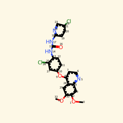 COc1cc2nccc(Oc3ccc(NC(=O)Nc4ccc(Cl)cn4)c(Cl)c3)c2cc1OC